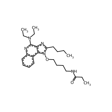 CCCCc1nc2c(N(CC)CC)nc3ccccc3c2n1OCCCCNC(=O)CC